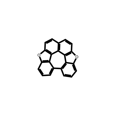 c1cc2c3c(c1)oc1ccc4ccc5oc6cccc-2c6c5c4c13